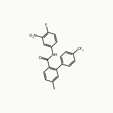 Cc1ccc(C(=O)Nc2ccc(F)c([N+](=O)[O-])c2)c(-c2ccc(C(F)(F)F)cc2)c1